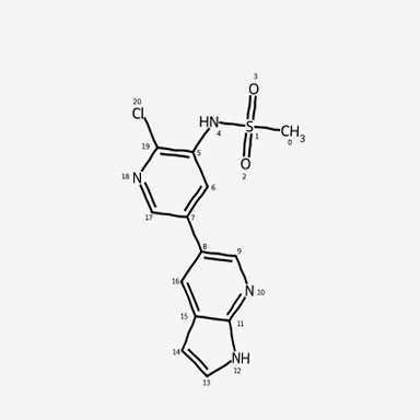 CS(=O)(=O)Nc1cc(-c2cnc3[nH]ccc3c2)cnc1Cl